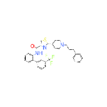 O=C(Nc1ccccc1-c1cccc(C(F)(F)F)c1)c1csc(C2CCN(CCCc3ccccc3)CC2)n1